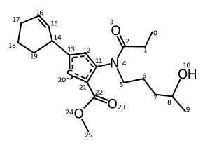 CCC(=O)N(CCCC(C)O)c1cc(C2C=CCCC2)sc1C(=O)OC